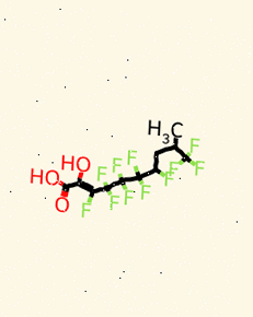 CC(CC(F)C(F)(F)C(F)(F)C(F)(F)C(F)=C(O)C(=O)O)C(F)(F)F